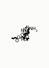 CCCC(=O)OC[C@H]1O[C@@](C#N)(c2ccc3c(N)ncnn23)[C@@H]2OC(C)(C)O[C@@H]21